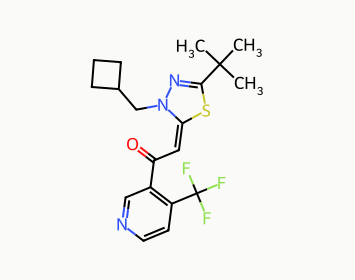 CC(C)(C)C1=NN(CC2CCC2)C(=CC(=O)c2cnccc2C(F)(F)F)S1